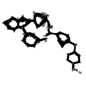 CN1CCC(Nc2ccc(C(=O)Nc3cc(-c4cc5ccccc5n4-c4cccc(Cl)c4)n[nH]3)cc2)CC1